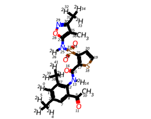 [2H]c1c(C([2H])([2H])[2H])cc(C(C)=O)c(N([2H])C(=O)c2sccc2S(=O)(=O)N([2H])c2onc(C([2H])([2H])[2H])c2C)c1C([2H])([2H])[2H]